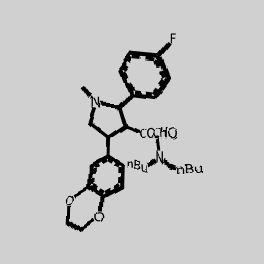 CCCCN(C=O)CCCC.CN1CC(c2ccc3c(c2)OCCO3)C(C(=O)O)C1c1ccc(F)cc1